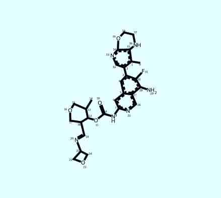 Cc1c(-c2cc3cc(NC(=O)OC4C(C)COCC4C=NC4COC4)ncc3c(N)c2F)cnc2c1NCCO2